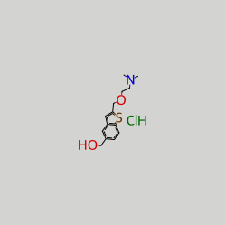 CN(C)CCOCc1cc2cc(CO)ccc2s1.Cl